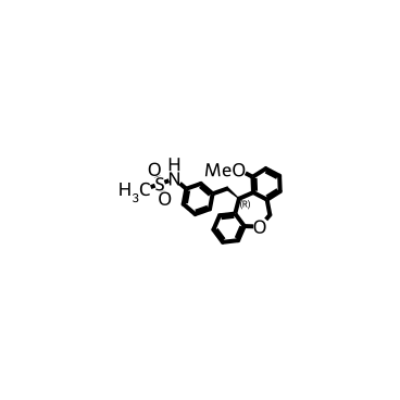 COc1cccc2c1[C@H](Cc1cccc(NS(C)(=O)=O)c1)c1ccccc1OC2